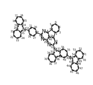 c1ccc2c(c1)-c1nc(-c3ccc(-n4c5ccccc5c5ccccc54)cc3)nc3nc(-n4c5ccccc5c5cc(-n6c7ccccc7c7ccccc76)ccc54)nc-2c13